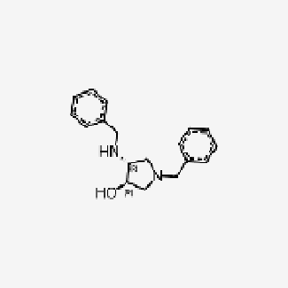 O[C@@H]1CN(Cc2ccccc2)C[C@H]1NCc1ccccc1